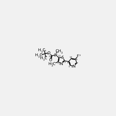 Cc1nc(-c2cncc(F)c2)sc1N(C)C(=O)OC(C)(C)C